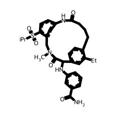 CCc1cc2ccc1CCCC(=O)Nc1ccc(S(=O)(=O)C(C)C)c(c1)CN(C)C(=O)C2Nc1cccc(C(N)=O)c1